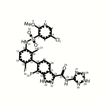 COc1ncc(Cl)cc1S(=O)(=O)Nc1ccc(F)c(-c2ccc3c(C(=O)Nc4nn[nH]n4)n[nH]c3c2F)c1F